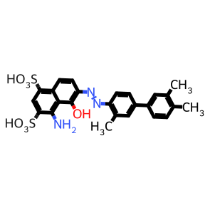 Cc1ccc(-c2ccc(N=Nc3ccc4c(S(=O)(=O)O)cc(S(=O)(=O)O)c(N)c4c3O)c(C)c2)cc1C